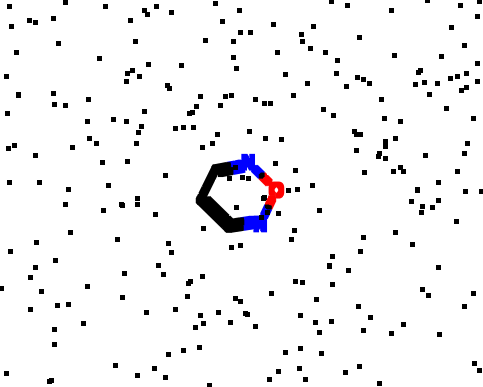 C1=CC=NON=1